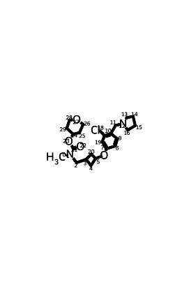 CN(CC1CC(Oc2ccc(CN3CCCC3)c(Cl)c2)C1)C(=O)OC1CCOCC1